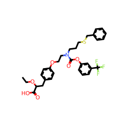 CCOC(Cc1ccc(OCCN(CCCSCc2ccccc2)C(=O)Oc2cccc(C(F)(F)F)c2)cc1)C(=O)O